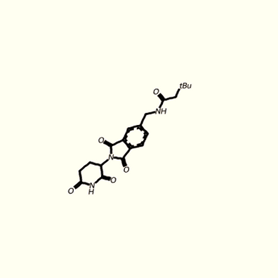 CC(C)(C)CC(=O)NCc1ccc2c(c1)C(=O)N(C1CCC(=O)NC1=O)C2=O